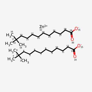 CC(C)(C)CCCCCCCCCC(=O)[O-].CC(C)(C)CCCCCCCCCC(=O)[O-].[Zn+2]